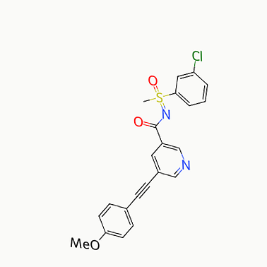 COc1ccc(C#Cc2cncc(C(=O)N=S(C)(=O)c3cccc(Cl)c3)c2)cc1